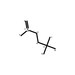 C=S(C)CCC(C)(C)C